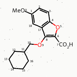 COc1ccc2oc(C(=O)O)c(OCC3CCCCC3)c2c1